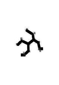 CSC(CO)C(CO)SC